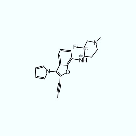 CC#Cc1oc2c(N[C@@H]3CCN(C)C[C@@H]3F)cccc2c1-n1cccc1